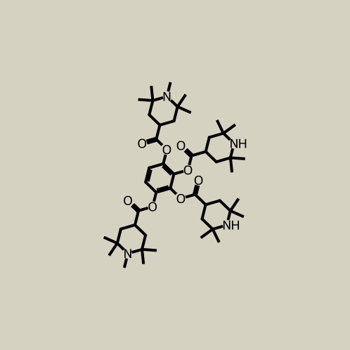 CN1C(C)(C)CC(C(=O)Oc2ccc(OC(=O)C3CC(C)(C)N(C)C(C)(C)C3)c(OC(=O)C3CC(C)(C)NC(C)(C)C3)c2OC(=O)C2CC(C)(C)NC(C)(C)C2)CC1(C)C